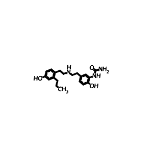 CCCc1cc(O)ccc1CCNCCc1ccc(O)c(NC(N)=O)c1